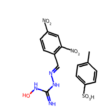 Cc1ccc(S(=O)(=O)O)cc1.N=C(NO)N/N=C/c1ccc([N+](=O)[O-])cc1[N+](=O)[O-]